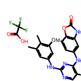 COc1cc(Nc2ncc(F)c(Nc3ccc4oc(=O)[nH]c4c3)n2)cc(C)c1C.O=C(O)C(F)(F)F